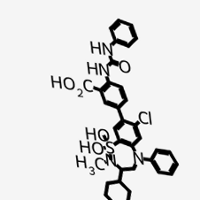 CN1C(C2CCCCC2)CN(c2ccccc2)c2cc(Cl)c(-c3ccc(NC(=O)Nc4ccccc4)c(C(=O)O)c3)cc2S1(O)O